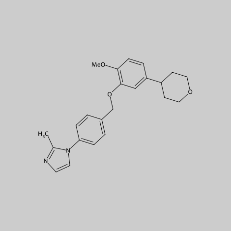 COc1ccc(C2CCOCC2)cc1OCc1ccc(-n2ccnc2C)cc1